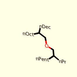 CCCCCCCCCCC(CCCCCCCC)COCC(CCC)CCCCC